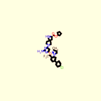 Cc1ccn(-c2cc(-c3ccc(Cl)cc3)ccc2C(Oc2cc(N3CCC4(CC3)CN[C@H](C(=O)OC3CCCC3)C4)nc(N)n2)C(F)(F)F)n1